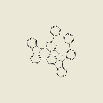 Cc1nc(-c2ccccc2)nc(-n2c3ccccc3c3cccc(-c4ccc5c(c4)c4ccccc4n5-c4cccc(-c5ccccc5)c4)c32)n1